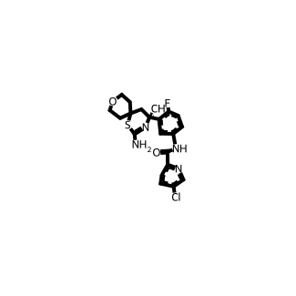 C[C@]1(c2cc(NC(=O)c3ccc(Cl)cn3)ccc2F)CC2(CCOCC2)SC(N)=N1